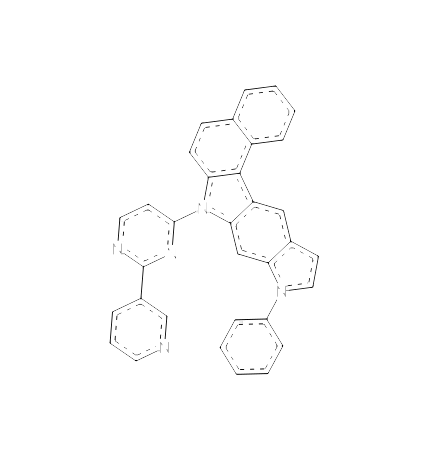 c1ccc(-n2ccc3cc4c5c6ccccc6ccc5n(-c5ccnc(-c6cccnc6)n5)c4cc32)cc1